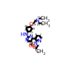 C=CCN1c2ncccc2-c2nc(Nc3ccc(OCCN(CC)CC)cc3)ncc2S1(=O)=O